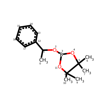 CC(OB1OC(C)(C)C(C)(C)O1)c1ccccc1